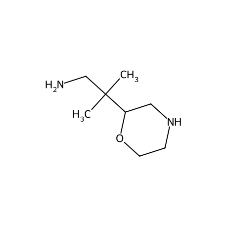 CC(C)(CN)C1CNCCO1